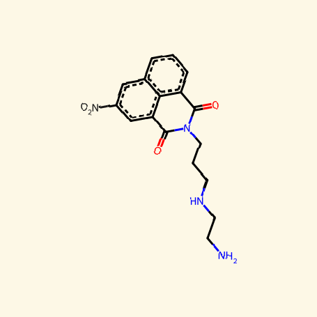 NCCNCCCN1C(=O)c2cccc3cc([N+](=O)[O-])cc(c23)C1=O